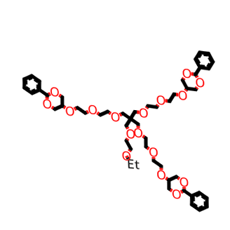 CCOCCOCC(COCCOCCOC1COC(c2ccccc2)OC1)(COCCOCCOC1COC(c2ccccc2)OC1)COCCOCCOC1COC(c2ccccc2)OC1